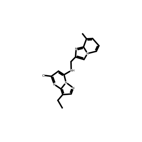 CCc1cnn2c(NCc3cn4cccc(C)c4n3)cc(Cl)nc12